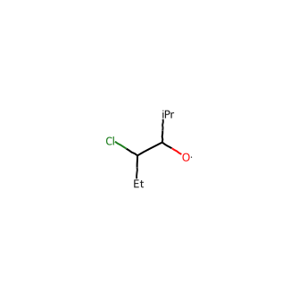 CCC(Cl)C([O])C(C)C